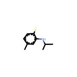 Cc1ccc(F)c(NC(C)C)c1